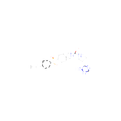 O=C(N1CC[C@H](c2ncn[nH]2)C1)N1CC2(CCC(S(=O)(=O)c3ccc(C(F)(F)F)cc3)CC2)C1